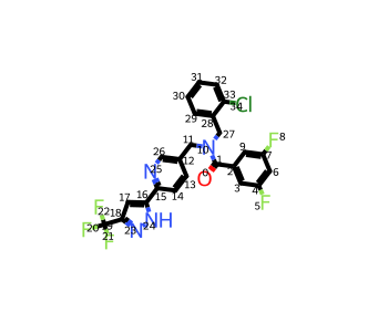 O=C(c1cc(F)cc(F)c1)N(Cc1ccc(-c2cc(C(F)(F)F)n[nH]2)nc1)Cc1ccccc1Cl